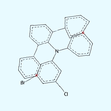 Clc1cc(Br)cc(N(c2ccccc2)c2c(-c3ccccc3)cccc2-c2ccccc2)c1